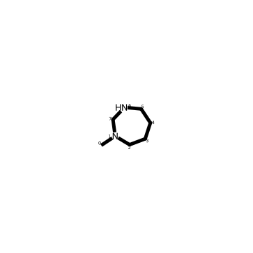 CN1CCCCNC1